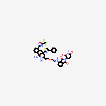 NC(=O)c1cccc(-c2noc(C(F)(F)F)n2)c1CC1(c2nc(-c3ccccc3)cs2)CCNC(CCOCCNc2cccc3c2C(=O)N(C2CCC(=O)NC2=O)C3=O)C1